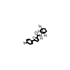 O=C(N[C@@H]1C[C@H]2CC[C@@H]1N2)c1ccc(-c2ccc(F)cc2)o1